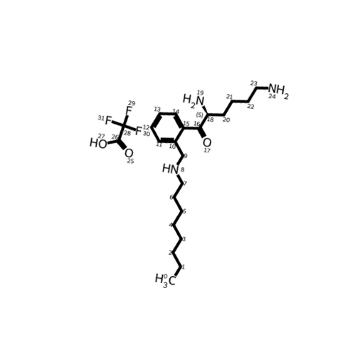 CCCCCCCCNCc1ccccc1C(=O)[C@@H](N)CCCCN.O=C(O)C(F)(F)F